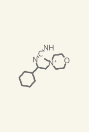 C[N+]1(CC(N=C=N)C2CCCCC2)CCOCC1